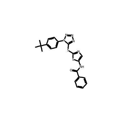 CC(C)(C)c1ccc(-n2nnnc2Sc2ncc(NC(=O)c3ccccc3)s2)cc1